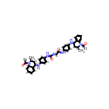 CCC(=O)N1c2ccccc2[C@H](Nc2ccc(NC(=O)CNC(=O)Nc3ccc(N[C@@H]4C[C@H](C)N(C(=O)CC)c5ccccc54)cc3)cc2)C[C@@H]1C